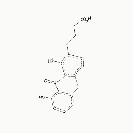 O=C(O)CCCc1ccc2c(c1O)C(=O)c1c(O)cccc1C2